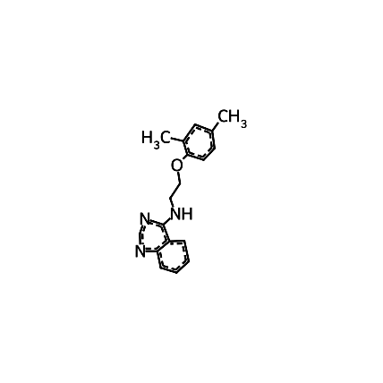 Cc1ccc(OCCNc2ncnc3ccccc23)c(C)c1